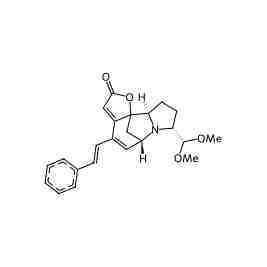 COC(OC)[C@H]1CC[C@H]2N1[C@@H]1C=C(/C=C/c3ccccc3)C3=CC(=O)OC32C1